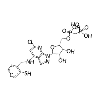 O=P(O)(O)CP(=O)(O)OC[C@H]1O[C@@H](n2ncc3c(NCc4ccccc4S)cc(Cl)nc32)C(O)C1O